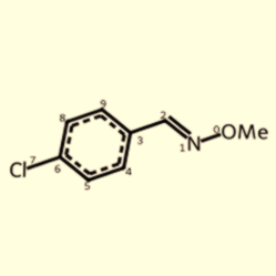 CON=Cc1ccc(Cl)cc1